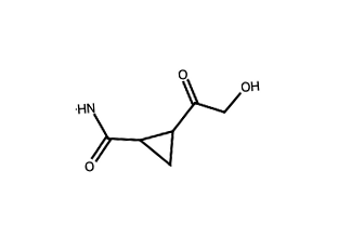 [NH]C(=O)C1CC1C(=O)CO